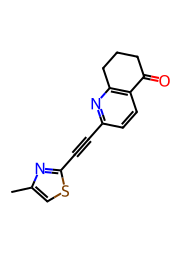 Cc1csc(C#Cc2ccc3c(n2)CCCC3=O)n1